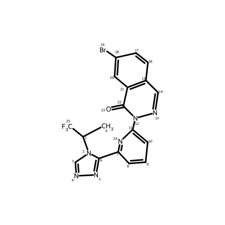 CC(n1cnnc1-c1cccc(-n2ncc3ccc(Br)cc3c2=O)n1)C(F)(F)F